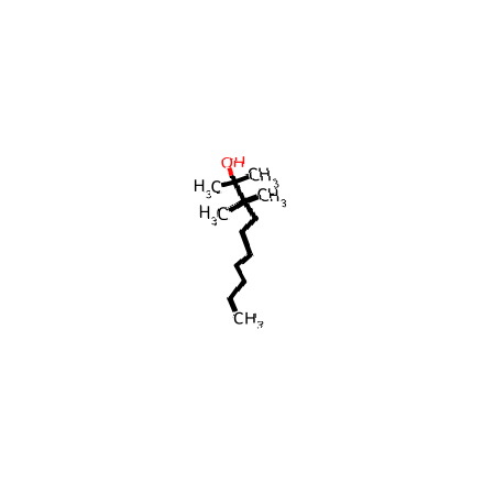 CCCCCCCC(C)(C)C(C)(C)O